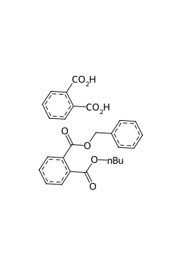 CCCCOC(=O)c1ccccc1C(=O)OCc1ccccc1.O=C(O)c1ccccc1C(=O)O